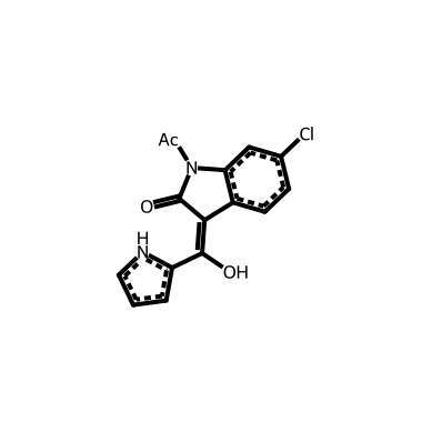 CC(=O)N1C(=O)C(=C(O)c2ccc[nH]2)c2ccc(Cl)cc21